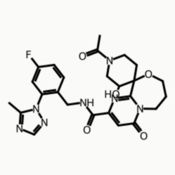 CC(=O)N1CCC2(OCCCn3c2nc(C(=O)NCc2ccc(F)cc2-n2ncnc2C)cc3=O)C(O)C1